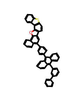 c1ccc(-c2cccc(-c3c4ccccc4c(-c4ccc(-c5cc6c7ccc8sc9ccccc9c8c7oc6c6ccccc56)cc4)c4ccccc34)c2)cc1